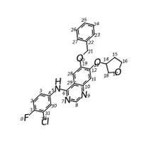 Fc1ccc(Nc2ncnc3cc(OC4CCOC4)c(OCc4ccccc4)cc23)cc1Cl